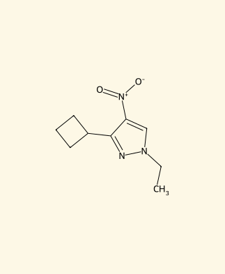 CCn1cc([N+](=O)[O-])c(C2CCC2)n1